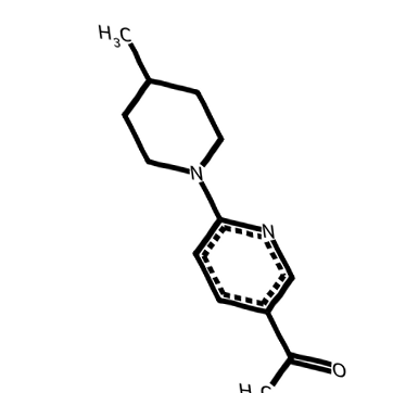 CC(=O)c1ccc(N2CCC(C)CC2)nc1